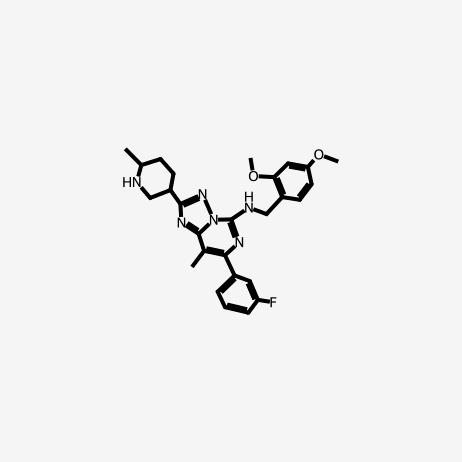 COc1ccc(CNc2nc(-c3cccc(F)c3)c(C)c3nc(C4CCC(C)NC4)nn23)c(OC)c1